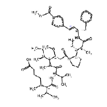 CC[C@H](C)[C@@H]([C@@H](CC(=O)N1CCC[C@H]1[C@H](OC)[C@@H](C)C(=O)N[C@H](/C=C/c1ccc(C(=O)OC)cc1)Cc1ccccc1)OC)N(C)C(=O)[C@@H](NC(=O)[C@H](C(C)C)N(C)CCCC(=O)O)C(C)C